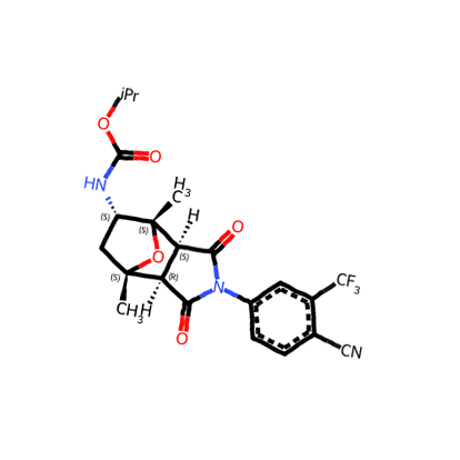 CC(C)OC(=O)N[C@H]1C[C@]2(C)O[C@@]1(C)[C@H]1C(=O)N(c3ccc(C#N)c(C(F)(F)F)c3)C(=O)[C@H]12